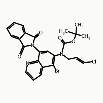 CC(C)(C)OC(=O)N(C/C=C/Cl)c1cc(N2C(=O)c3ccccc3C2=O)c2ncccc2c1Br